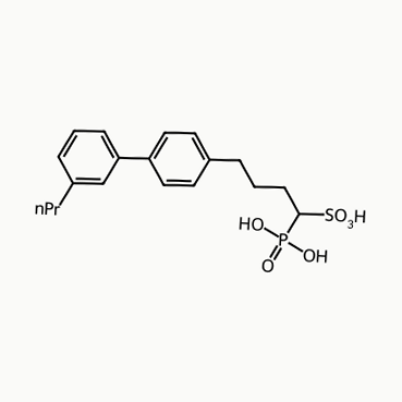 CCCc1cccc(-c2ccc(CCCC(P(=O)(O)O)S(=O)(=O)O)cc2)c1